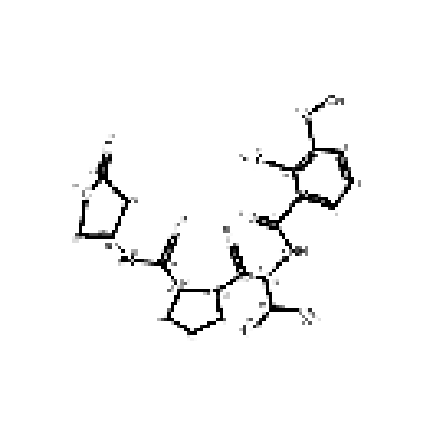 COc1cccc(C(=O)N[C@H](C(=O)N2CCC[C@H]2C(=O)N[C@@H]2COC(=O)C2)C(C)C)c1C